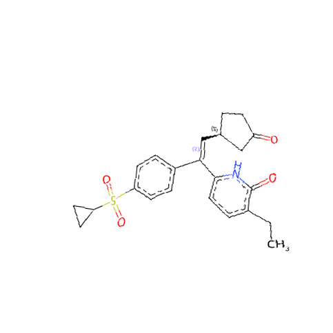 CCc1ccc(/C(=C\[C@H]2CCC(=O)C2)c2ccc(S(=O)(=O)C3CC3)cc2)[nH]c1=O